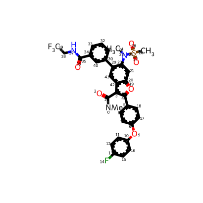 CNC(=O)c1c(-c2ccc(Oc3ccc(F)cc3)cc2)oc2cc(N(C)S(C)(=O)=O)c(-c3cccc(C(=O)NCC(F)(F)F)c3)cc12